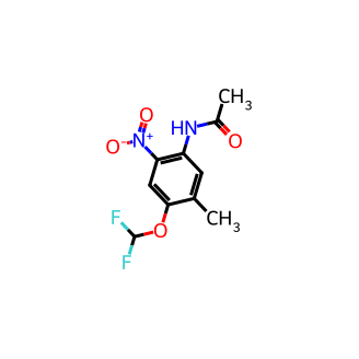 CC(=O)Nc1cc(C)c(OC(F)F)cc1[N+](=O)[O-]